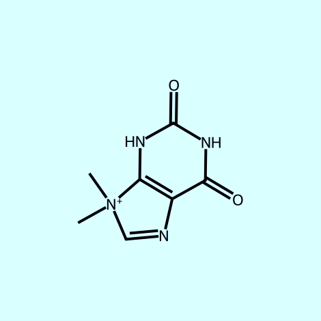 C[N+]1(C)C=Nc2c1[nH]c(=O)[nH]c2=O